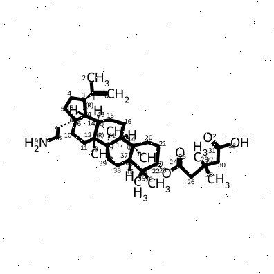 C=C(C)[C@@H]1CC[C@]2(CCN)CC[C@]3(C)[C@H](CC[C@@H]4[C@@]5(C)CC[C@H](OC(=O)CC(C)(C)CC(=O)O)C(C)(C)[C@@H]5CC[C@]43C)[C@@H]12